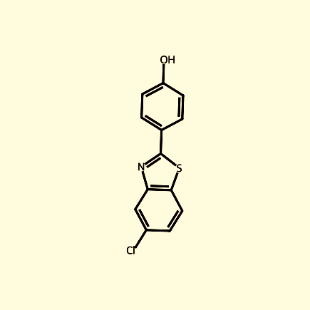 Oc1ccc(-c2nc3cc(Cl)ccc3s2)cc1